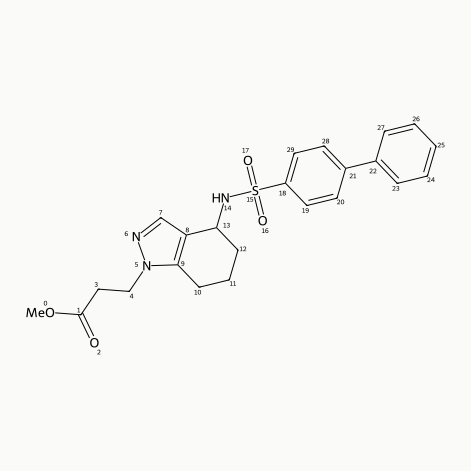 COC(=O)CCn1ncc2c1CCCC2NS(=O)(=O)c1ccc(-c2ccccc2)cc1